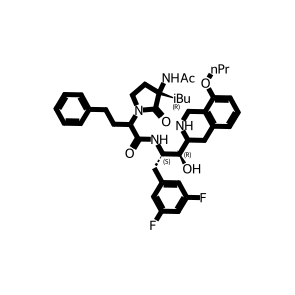 CCCOc1cccc2c1CNC([C@@H](O)[C@H](Cc1cc(F)cc(F)c1)NC(=O)C(CCc1ccccc1)N1CCC(NC(C)=O)([C@H](C)CC)C1=O)C2